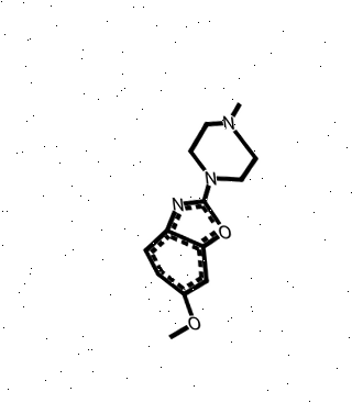 COc1ccc2nc(N3CCN(C)CC3)oc2c1